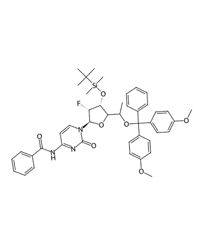 COc1ccc(C(OC(C)C2O[C@@H](n3ccc(NC(=O)c4ccccc4)nc3=O)[C@H](F)[C@@H]2O[Si](C)(C)C(C)(C)C)(c2ccccc2)c2ccc(OC)cc2)cc1